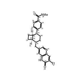 CCc1cc2ncc(CN3CCN(c4ccc(C(=O)NC)nc4)[C@@H]4CC[C@@H]43)cc2[nH]c1=O